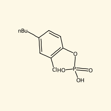 CCCCc1ccc(OP(=O)(O)O)c(Cl)c1